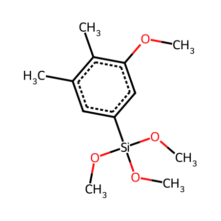 COc1cc([Si](OC)(OC)OC)cc(C)c1C